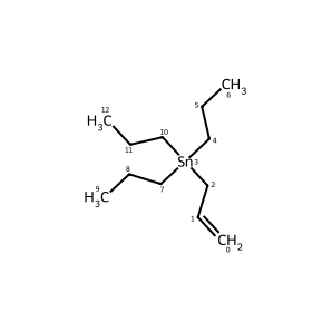 C=C[CH2][Sn]([CH2]CC)([CH2]CC)[CH2]CC